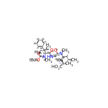 C=CC[C@@H](/C=C(\C)C(=O)O)N(C)C(=O)[C@@H](NC(=O)C(N(C)C(=O)OC(C)(C)C)C(C)(C)c1ccccc1)C(C)(C)C